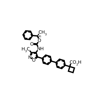 Cc1noc(-c2ccc(-c3ccc(C4(C(=O)O)CCC4)cc3)cc2)c1NC(=O)O[C@H](C)c1ccccc1